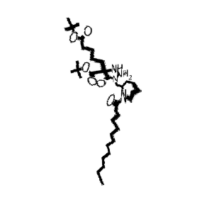 CCCCCCCCCCCC(=O)N1CCCCC1CN(N)C(=O)C(N)(CCCCC(=O)OC(C)(C)C)C(=O)OC(C)(C)C